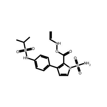 C=CNOC(=O)c1c(-c2ccc(NS(=O)(=O)C(C)C)cc2)ccn1S(N)(=O)=O